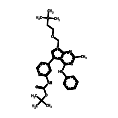 Cc1nc(Nc2ccccc2)c2c(-c3ccnc(NC(=O)OC(C)(C)C)c3)cn(COCC[Si](C)(C)C)c2n1